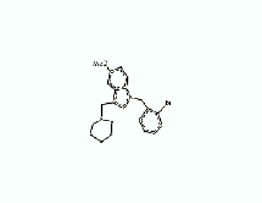 COc1ccc2c(c1)c(CN1CCCCC1)cn2Cc1ccccc1Br